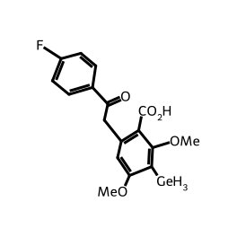 COc1cc(CC(=O)c2ccc(F)cc2)c(C(=O)O)c(OC)[c]1[GeH3]